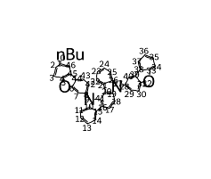 CCCCc1ccc2oc3cc(-n4c5ccccc5c5ccc6c(c7ccccc7n6-c6ccc7oc8ccccc8c7c6)c54)ccc3c2c1